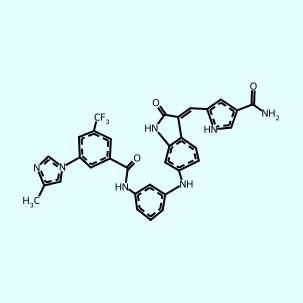 Cc1cn(-c2cc(C(=O)Nc3cccc(Nc4ccc5c(c4)NC(=O)C5=Cc4cc(C(N)=O)c[nH]4)c3)cc(C(F)(F)F)c2)cn1